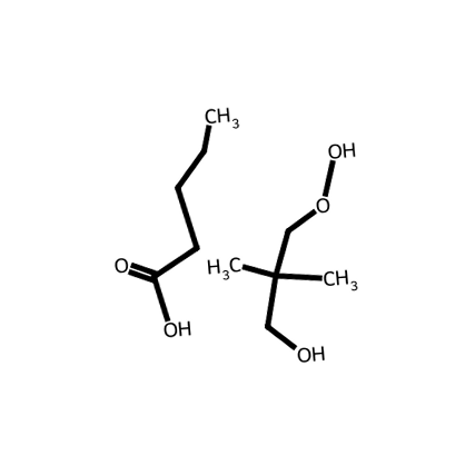 CC(C)(CO)COO.CCCCC(=O)O